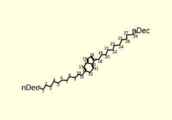 CCCCCCCCCCCCCCCCCCCCCC1=CC2=CC=C(CCCCCCCCCCCCCCCCCCCCC)C2=CC1